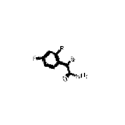 NC(=O)C(Br)c1ccc(F)cc1F